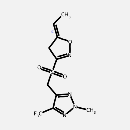 C/C=C1/CC(S(=O)(=O)Cc2nn(C)nc2C(F)(F)F)=NO1